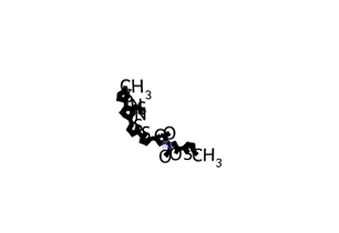 Cc1ccc(C2=C/C(=C3/C=C(c4ccc(-c5ccc(-c6ccc(-c7ccc(C)s7)c7nsnc67)s5)s4)OC3=O)C(=O)O2)s1